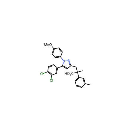 COc1ccc(-n2nc(CC(C)(C(=O)O)c3cccc(C)c3)cc2-c2ccc(Cl)c(Cl)c2)cc1